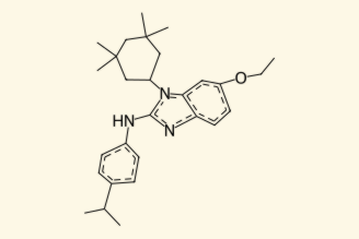 CCOc1ccc2nc(Nc3ccc(C(C)C)cc3)n(C3CC(C)(C)CC(C)(C)C3)c2c1